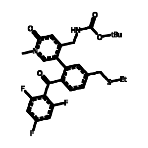 CCSCc1ccc(C(=O)c2c(F)cc(F)cc2F)c(-c2cn(C)c(=O)cc2CNC(=O)OC(C)(C)C)c1